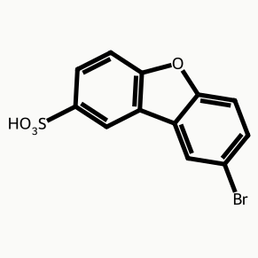 O=S(=O)(O)c1ccc2oc3ccc(Br)cc3c2c1